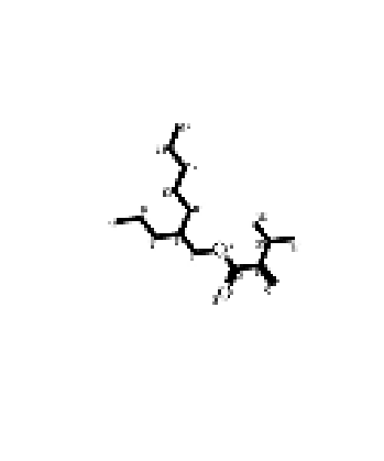 C=C(C(=O)OCC(CCC)CCCCC)C(C)C